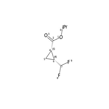 CC(C)OC(=O)[C@H]1C[C@H]1C(F)F